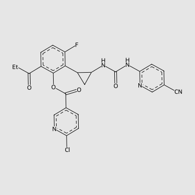 CCC(=O)c1ccc(F)c(C2CC2NC(=O)Nc2ccc(C#N)cn2)c1OC(=O)c1ccc(Cl)nc1